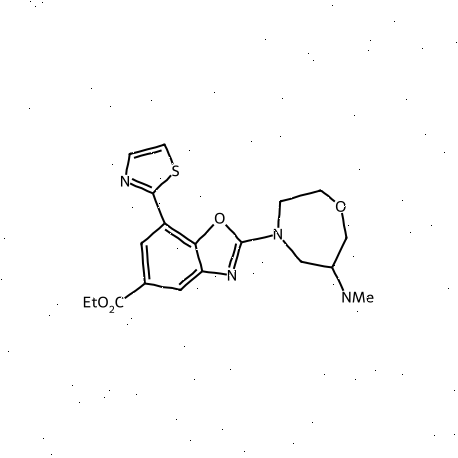 CCOC(=O)c1cc(-c2nccs2)c2oc(N3CCOCC(NC)C3)nc2c1